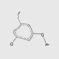 CC(C)Oc1cc([O])cc(F)c1